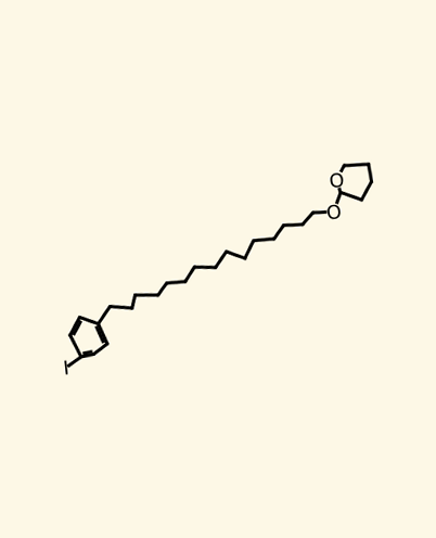 Ic1ccc(CCCCCCCCCCCCCCCOC2CCCCO2)cc1